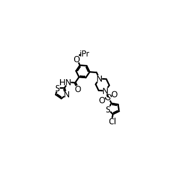 CC(C)Oc1cc(CN2CCN(S(=O)(=O)c3ccc(Cl)s3)CC2)cc(C(=O)Nc2nccs2)c1